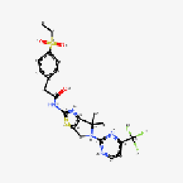 CCS(=O)(=O)c1ccc(CC(=O)Nc2nc3c(s2)CN(c2nccc(C(F)(F)F)n2)C3(C)C)cc1